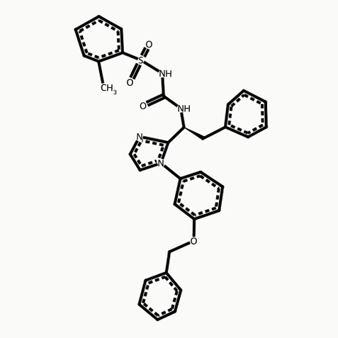 Cc1ccccc1S(=O)(=O)NC(=O)N[C@@H](Cc1ccccc1)c1nccn1-c1cccc(OCc2ccccc2)c1